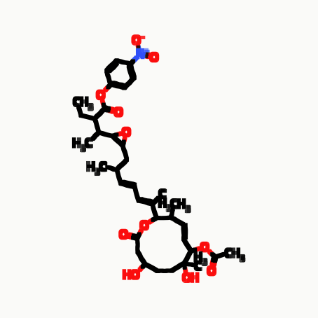 CCC(C(=O)Oc1ccc([N+](=O)[O-])cc1)C(C)C1OC1CC(C)/C=C/C=C(\C)C1OC(=O)CC(O)CCC(C)(O)C(OC(C)=O)/C=C/C1C